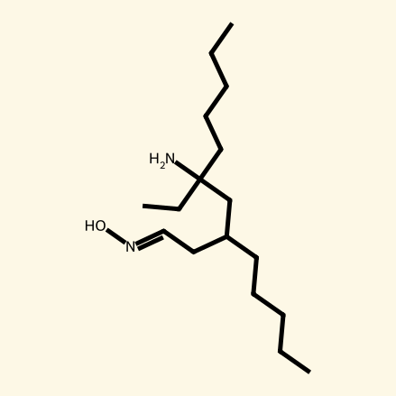 CCCCCC(CC=NO)CC(N)(CC)CCCCC